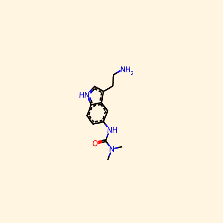 CN(C)C(=O)Nc1ccc2[nH]cc(CCN)c2c1